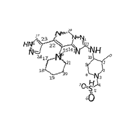 CC1CN(C[SH](=O)=O)CCC1Nc1nc2c(N3CCCCC3)c(-c3cn[nH]c3)ncn2n1